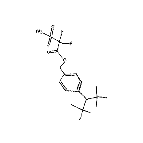 CC(C)(C)C(c1ccc(COC(=O)C(F)(F)S(=O)(=O)O)cc1)C(C)(C)C